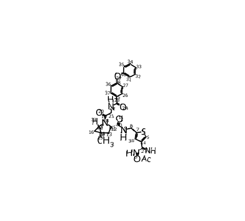 CC(=O)ONC(=N)c1csc(CNC(=O)[C@@H]2C[C@]3(C)C[C@@H]3N2C(=O)CNC(=O)c2ccc(Oc3ccccc3)cc2)c1